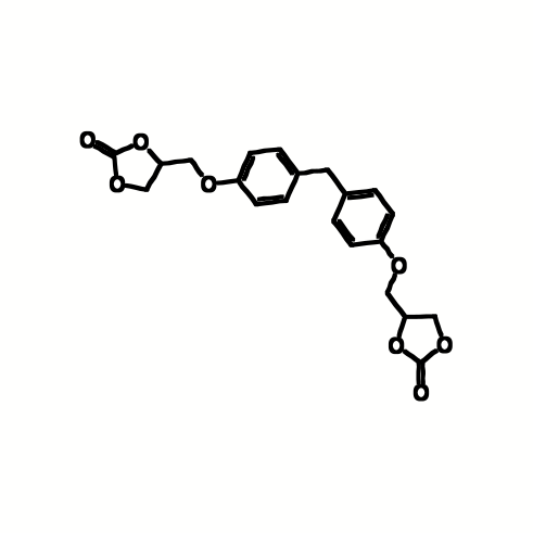 O=C1OCC(COc2ccc(Cc3ccc(OCC4COC(=O)O4)cc3)cc2)O1